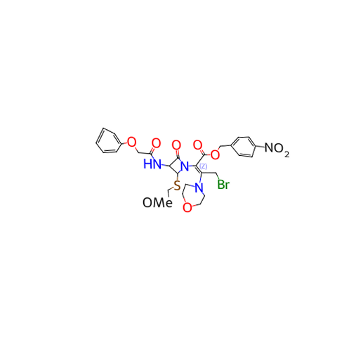 COCSC1C(NC(=O)COc2ccccc2)C(=O)N1/C(C(=O)OCc1ccc([N+](=O)[O-])cc1)=C(/CBr)N1CCOCC1